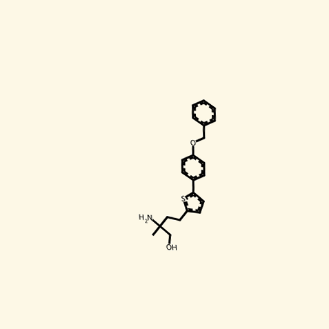 CC(N)(CO)CCc1ccc(-c2ccc(OCc3ccccc3)cc2)s1